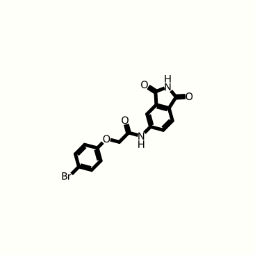 O=C(COc1ccc(Br)cc1)Nc1ccc2c(c1)C(=O)NC2=O